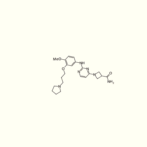 COc1ccc(Nc2nccc(N3CC(C(N)=O)C3)n2)cc1OCCCN1CCCC1